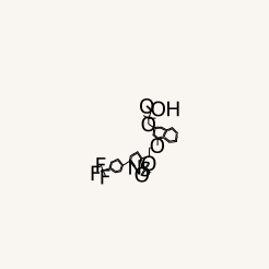 CC(C)(Oc1cc(OCCc2ccc(-c3ccc(C(F)(F)F)cc3)nc2S(C)(=O)=O)c2ccccc2c1)C(=O)O